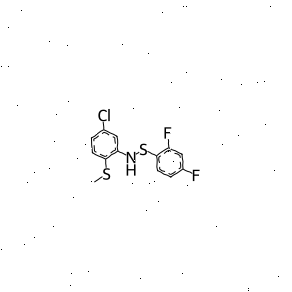 CSc1ccc(Cl)cc1NSc1ccc(F)cc1F